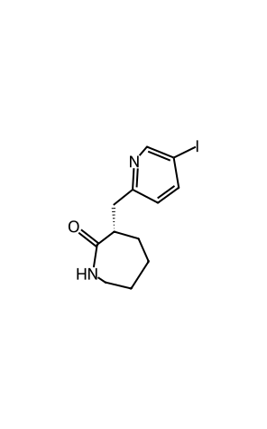 O=C1NCCCC[C@H]1Cc1ccc(I)cn1